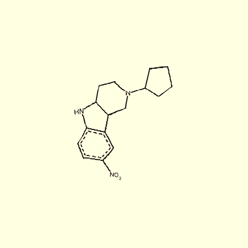 O=[N+]([O-])c1ccc2c(c1)C1CN(C3CCCC3)CCC1N2